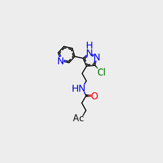 CC(=O)CCC(=O)NCCc1c(Cl)n[nH]c1-c1cccnc1